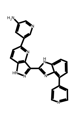 Nc1cncc(-c2ccc3[nH]nc(-c4nc5c(-c6ccncc6)cccc5[nH]4)c3n2)c1